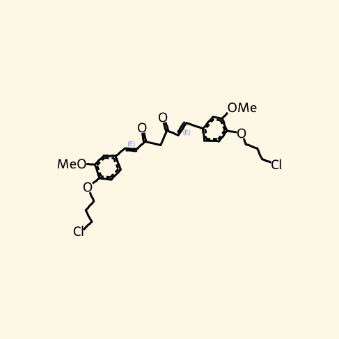 COc1cc(/C=C/C(=O)CC(=O)/C=C/c2ccc(OCCCCl)c(OC)c2)ccc1OCCCCl